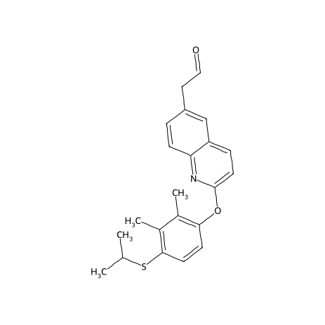 Cc1c(Oc2ccc3cc(CC=O)ccc3n2)ccc(SC(C)C)c1C